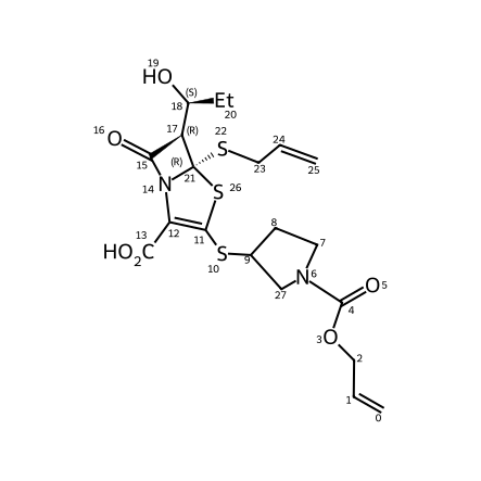 C=CCOC(=O)N1CCC(SC2=C(C(=O)O)N3C(=O)[C@@H]([C@@H](O)CC)[C@@]3(SCC=C)S2)C1